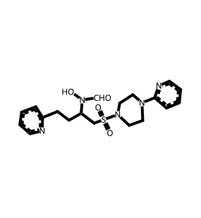 O=CN(O)C(CCc1ccccn1)CS(=O)(=O)N1CCN(c2ccccn2)CC1